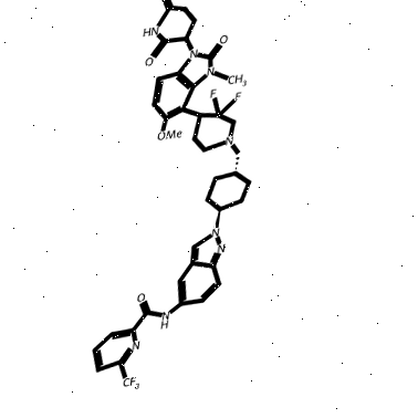 COc1ccc2c(c1C1CCN(C[C@H]3CC[C@H](n4cc5cc(NC(=O)c6cccc(C(F)(F)F)n6)ccc5n4)CC3)CC1(F)F)n(C)c(=O)n2C1CCC(=O)NC1=O